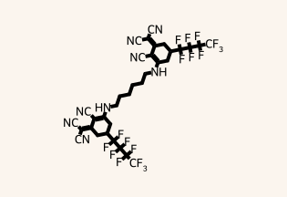 N#CC(C#N)=C1CC(C(F)(F)C(F)(F)C(F)(F)C(F)(F)F)CC(NCCCCCCNC2=C(C#N)C(=C(C#N)C#N)CC(C(F)(F)C(F)(F)C(F)(F)C(F)(F)F)C2)=C1C#N